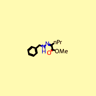 CCCC(=NNCc1ccccc1)C(=O)OC